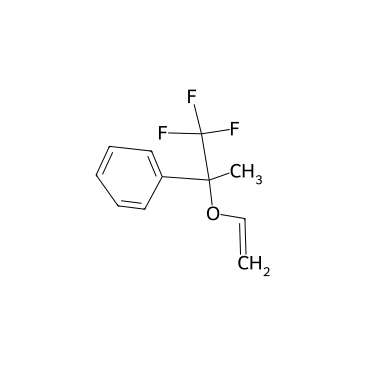 C=COC(C)(c1ccccc1)C(F)(F)F